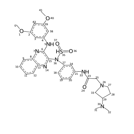 COc1cc(Nc2nc3ccccc3nc2N(c2cccc(NC(=O)CN3CCC(N(C)C)C3)c2)[SH](=O)=O)cc(OC)c1